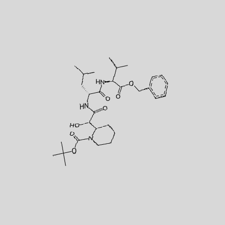 CC(C)C[C@@H](NC(=O)C(O)C1CCCCN1C(=O)OC(C)(C)C)C(=O)N[C@H](C(=O)OCc1ccccc1)C(C)C